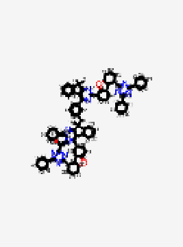 CC1(C)c2ccccc2-c2c(-c3cccc(CC4(C)c5ccccc5-c5c(-c6ccc7oc8cccc(-c9nc(-c%10ccccc%10)nc(-c%10ccccc%10)n9)c8c7c6)nc(-c6ccccc6)nc54)c3)nc(-c3cccc4c3oc3cccc(-c5nc(-c6ccccc6)nc(-c6ccccc6)n5)c34)nc21